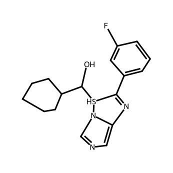 OC(C1CCCCC1)[SH]1C(c2cccc(F)c2)=Nc2cncn21